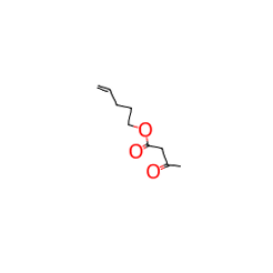 C=CCCCOC(=O)CC(C)=O